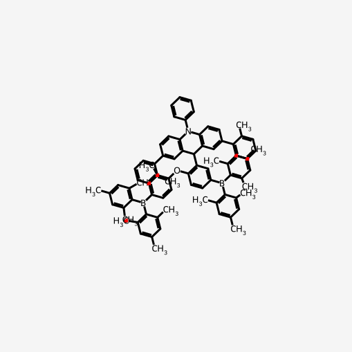 Cc1cc(C)c(B(c2ccc(Oc3ccc(B(c4c(C)cc(C)cc4C)c4c(C)cc(C)cc4C)cc3C3c4cc(-c5ccccc5C)ccc4N(c4ccccc4)c4ccc(-c5ccccc5C)cc43)c(C)c2)c2c(C)cc(C)cc2C)c(C)c1